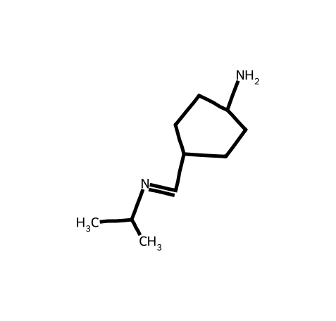 CC(C)/N=C/C1CCC(N)CC1